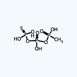 CP(=O)(O)OP(=O)(O)OP(O)(O)=S